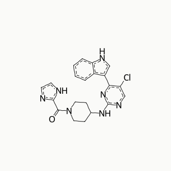 O=C(c1ncc[nH]1)N1CCC(Nc2ncc(Cl)c(-c3c[nH]c4ccccc34)n2)CC1